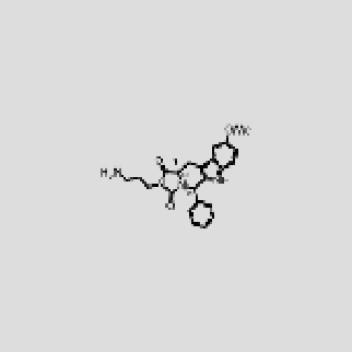 COc1ccc2[nH]c3c(c2c1)C[C@@]1(C)C(=O)N(CCCN)C(=O)N1[C@@H]3c1ccccc1